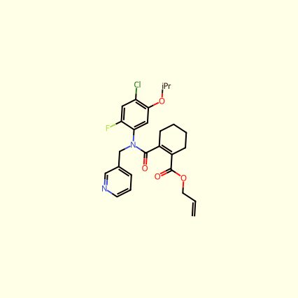 C=CCOC(=O)C1=C(C(=O)N(Cc2cccnc2)c2cc(OC(C)C)c(Cl)cc2F)CCCC1